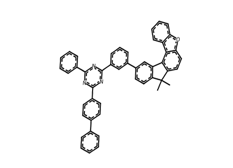 CC1(C)c2ccc(-c3cccc(-c4nc(-c5ccccc5)nc(-c5ccc(-c6ccccc6)cc5)n4)c3)cc2-c2c1ccc1oc3ccccc3c21